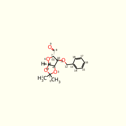 CC1(C)OC2[C@H](O[C@H](C=O)[C@H]2OCc2ccccc2)O1